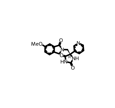 COc1ccc2c(c1)C(=O)N(C[C@@]1(c3cccnc3)NC(=O)NC1=O)C2